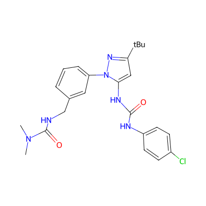 CN(C)C(=O)NCc1cccc(-n2nc(C(C)(C)C)cc2NC(=O)Nc2ccc(Cl)cc2)c1